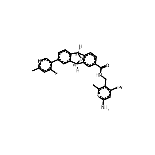 CCCc1cc(N)nc(C)c1CNC(=O)c1ccc2c(c1)[C@@H]1O[C@H]2c2ccc(-c3cnc(C)cc3F)cc21